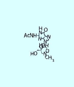 CC(=O)Nc1nc2c(ncn2[C@@H]2O[C@@]3(CO)CN(C)OC2[C@H]3O)c(=O)[nH]1